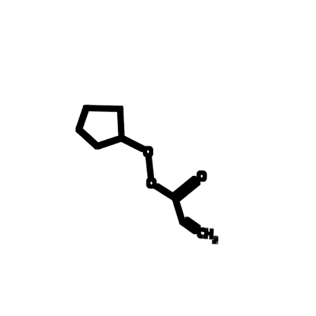 C=CC(=O)OOC1CCCC1